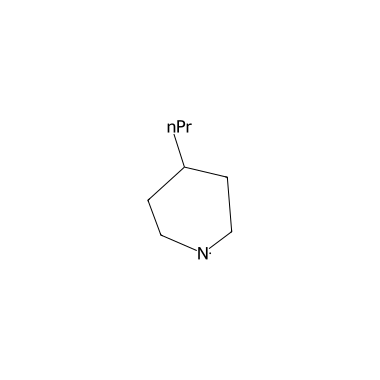 CCCC1CC[N]CC1